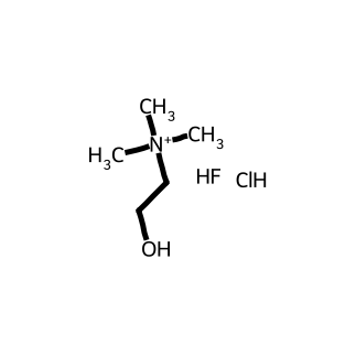 C[N+](C)(C)CCO.Cl.F